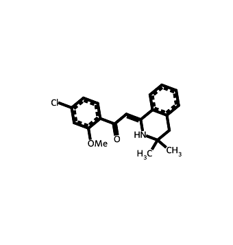 COc1cc(Cl)ccc1C(=O)C=C1NC(C)(C)Cc2ccccc21